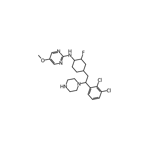 COc1cnc(NC2CCC(CC(c3cccc(Cl)c3Cl)N3CCNCC3)CC2F)nc1